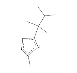 CC(C)C(C)(C)c1ccn(C)n1